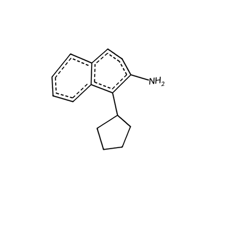 Nc1ccc2ccccc2c1C1CCCC1